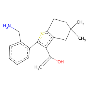 C=C(O)c1c(-c2ccccc2CN)sc2c1CC(C)(C)CC2